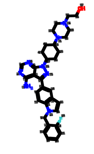 Nc1ncnc2c1c(-c1ccc3c(ccn3Cc3ccccc3F)c1)nn2C1CCC(N2CCN(CCO)CC2)CC1